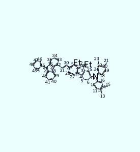 CCC1(CC)C2=C(CCC(N(c3ccc(C)c(C)c3)c3ccc(C)c(C)c3)=C2)c2ccc(/C=C/c3cccc4c3-c3ccccc3C4c3ccccc3)cc21